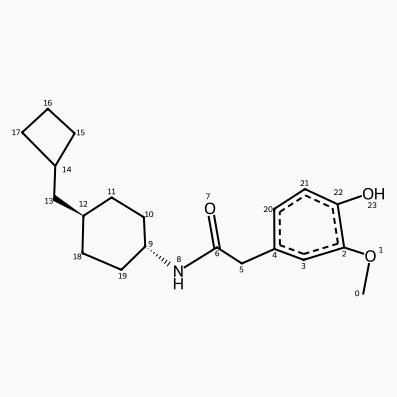 COc1cc(CC(=O)N[C@H]2CC[C@H](CC3CCC3)CC2)ccc1O